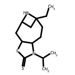 CCC12BC(CC3SC(=S)N(C(C)C)C3CC1)C2